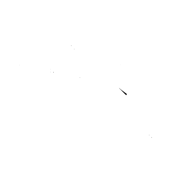 CN(C)CC#C[C@H]1CC[C@H](N(C)c2ccccn2)CC1